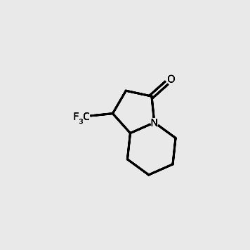 O=C1CC(C(F)(F)F)C2CCCCN12